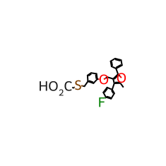 Cc1oc(-c2ccccc2)c(COc2cccc(CSCC(=O)O)c2)c1-c1ccc(F)cc1